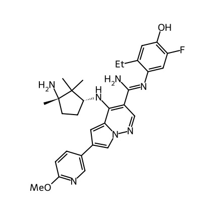 CCc1cc(O)c(F)cc1/N=C(\N)c1cnn2cc(-c3ccc(OC)nc3)cc2c1N[C@@H]1CC[C@](C)(N)C1(C)C